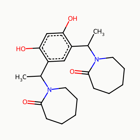 CC(c1cc(C(C)N2CCCCCC2=O)c(O)cc1O)N1CCCCCC1=O